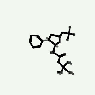 CC(C)(C)OC(=O)N[C@@H]1CN(CC(F)(F)F)C[C@H]1c1ccccc1